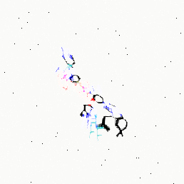 C=C(CCC1=C(CN2CCN(c3ccc(C(=O)NS(=O)(=O)c4ccc(NCC5(F)CCN(C)CC5)c([N+](=O)[O-])c4)c(Oc4cnc5[nH]ccc5c4)c3)CC2)CCC(C)(C)C1)C(F)(F)F